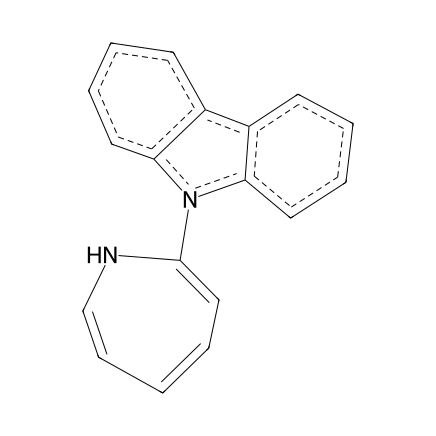 C1=CC=C(n2c3ccccc3c3ccccc32)NC=C1